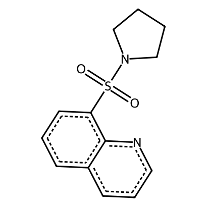 O=S(=O)(c1cccc2cccnc12)N1CCCC1